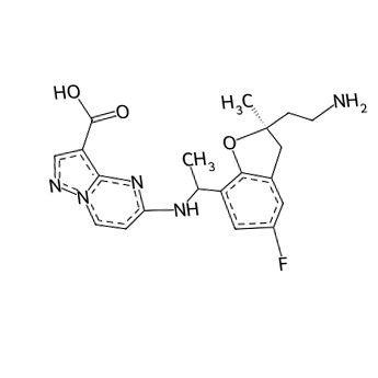 CC(Nc1ccn2ncc(C(=O)O)c2n1)c1cc(F)cc2c1O[C@@](C)(CCN)C2